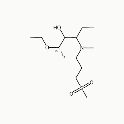 CCO[C@@H](C)C(O)C(CC)N(C)CCCS(C)(=O)=O